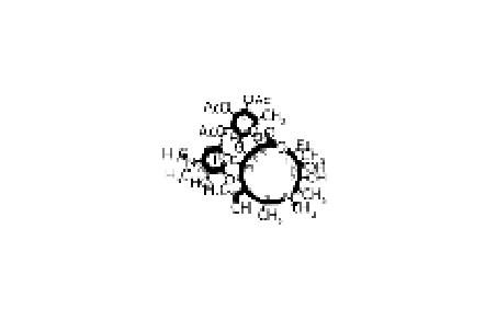 CC[C@H]1OC(=O)[C@H](C)[C@@H](O[C@@H]2O[C@@H](C)[C@@H](OC(C)=O)[C@@H](OC(C)=O)[C@@H]2OC(C)=O)[C@H](C)[C@@H](O[C@@H]2O[C@H](C)C[C@H](N(C)C)[C@H]2O)C([C@@H](C)O)C[C@@H](C)CN(C)[C@H](C)[C@@H](O)[C@]1(C)O